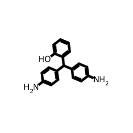 Nc1ccc(C(c2ccc(N)cc2)c2ccccc2O)cc1